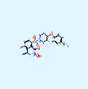 C=C(C)c1c(C)ccc(S(=O)(=O)N2CCC(Oc3ccc(C(F)(F)F)cc3)CC2)c1C(=O)NO